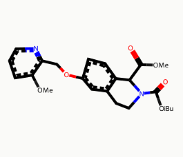 COC(=O)C1c2ccc(OCc3ncccc3OC)cc2CCN1C(=O)OCC(C)C